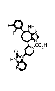 N[C@@H]1c2scnc2[C@@H](C2CC(n3c(=O)[nH]c4ncccc43)CCN2C(=O)O)CC[C@H]1c1cccc(F)c1F